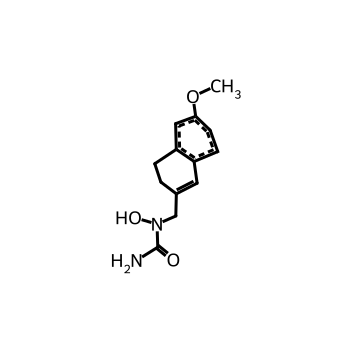 COc1ccc2c(c1)CCC(CN(O)C(N)=O)=C2